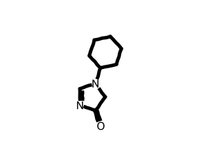 O=C1CN(C2CCCCC2)C=N1